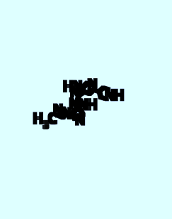 Cc1cn(-c2cncc3[nH]c(-c4n[nH]c5cnc(C6=CCNCC6)cc45)nc23)cn1